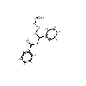 CCCCCCCCCCCCSC(CC(=O)c1ccccc1)c1ccccc1